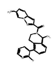 Bc1ccc2cc(C(=O)N3CCc4c(-c5cccnc5F)cccc4C3C)nn2c1